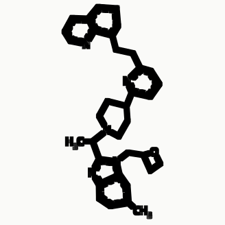 Cc1ccc2nc(C(C)N3CCC(c4cccc(CCc5cccc6cccnc56)n4)CC3)n(CC3CCO3)c2c1